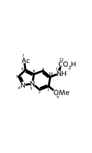 COc1cn2ncc(C(C)=O)c2cc1NC(=O)O